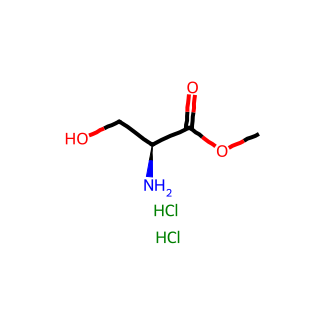 COC(=O)[C@@H](N)CO.Cl.Cl